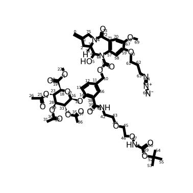 C=C1C[C@H]2C(O)N(C(=O)OCc3ccc(O[C@@H]4O[C@H](C(=O)OC)[C@@H](OC(C)=O)[C@H](OC(C)=O)[C@H]4OC(C)=O)c(C(=O)NCCOCCONC(=O)OC(C)(C)C)c3)c3cc(OCCCN=[N+]=[N-])c(OC)cc3C(=O)N2C1